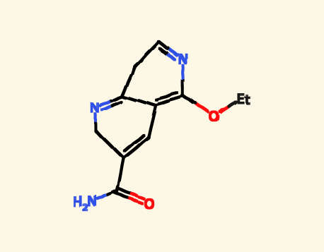 CCOC1=C2C=C(C(N)=O)CN=C2CC=N1